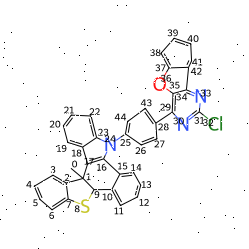 CC12c3ccccc3SC1c1ccccc1-c1c2c2ccccc2n1-c1ccc(-c2nc(Cl)nc3c2oc2ccccc23)cc1